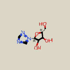 OC[C@H]1O[C@@H](n2cncn2)C(O)C1O